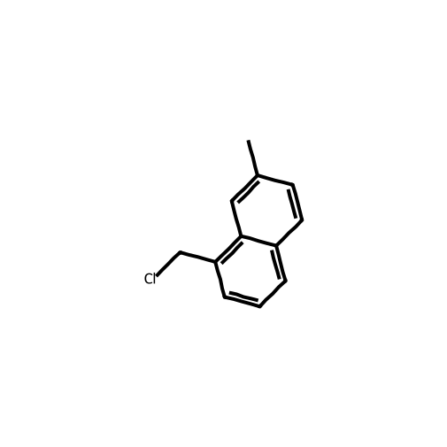 Cc1ccc2cccc(CCl)c2c1